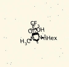 CCCCCCN1C=CN(C)C1.O=S(O)C(F)(F)F